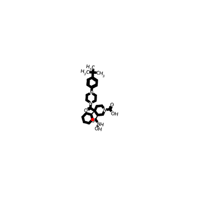 CC(C)(C)c1ccc(N2CCN(C(=O)[C@]3(C4CCCCC4)CCN(C(=O)O)C[C@H]3C(=O)NO)CC2)cc1